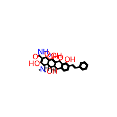 C[C@H]1c2ccc(/C=C/c3ccccc3)c(O)c2C(=O)C2=C(O)[C@]3(O)C(=O)C(C(N)=O)=C(O)[C@@H](N(C)C)[C@@H]3[C@@H](O)[C@@H]21